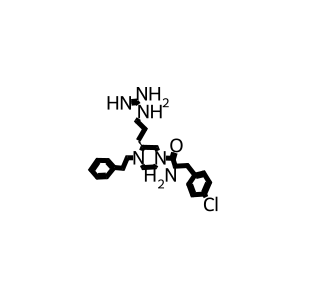 N=C(N)NCCC[C@@H]1CN(C(=O)[C@H](N)Cc2ccc(Cl)cc2)CCN1CCc1ccccc1